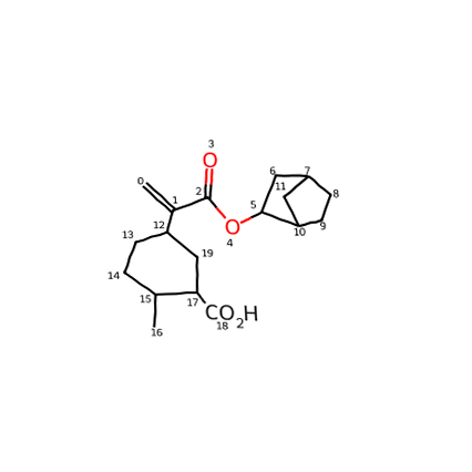 C=C(C(=O)OC1CC2CCC1C2)C1CCC(C)C(C(=O)O)C1